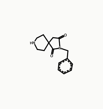 O=C1CC2(CCNCC2)C(=O)N1Cc1ccccc1